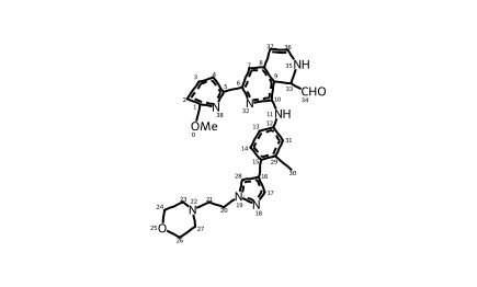 COc1cccc(-c2cc3c(c(Nc4ccc(-c5cnn(CCN6CCOCC6)c5)c(C)c4)n2)C(C=O)NC=C3)n1